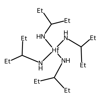 CCC(CC)[NH][Hf]([NH]C(CC)CC)([NH]C(CC)CC)[NH]C(CC)CC